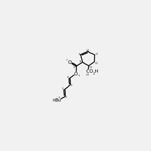 CCCCC=CC=COC(=O)C1C=CCCC1C(=O)O